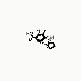 Cc1c(N[C@@H]2CCC[C@@]2(C)O)ccc(C(=O)O)c1Cl